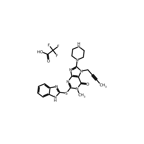 CC#CCn1c(N2CCNCC2)nc2nc(Sc3nc4ccccc4[nH]3)n(C)c(=O)c21.O=C(O)C(F)(F)F